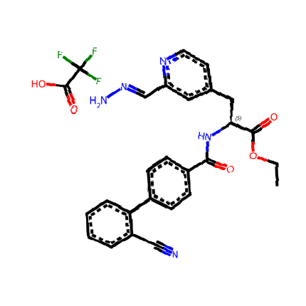 CCOC(=O)[C@H](Cc1ccnc(C=NN)c1)NC(=O)c1ccc(-c2ccccc2C#N)cc1.O=C(O)C(F)(F)F